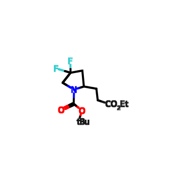 CCOC(=O)CCC1CC(F)(F)CN1C(=O)OC(C)(C)C